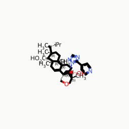 CC(C)[C@@H](C)[C@@]1(C)CC[C@]2(C)[C@H]3CC[C@@H]4[C@@]5(COC[C@@]4(C)[C@@H](O)[C@H](n4ncnc4-c4ccncc4)C5)C3=CC[C@@]2(C)[C@@H]1C(=O)O